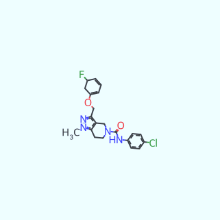 Cn1nc(COC2=CC=CC(F)C2)c2c1CCN(C(=O)Nc1ccc(Cl)cc1)C2